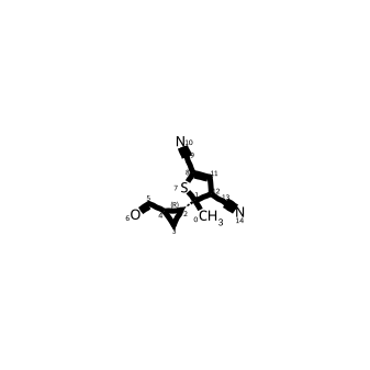 CC1([C@@H]2CC2C=O)SC(C#N)=CC1C#N